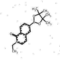 CCn1ccc2cc(B3OC(C)(C)C(C)(C)O3)ccc2c1=O